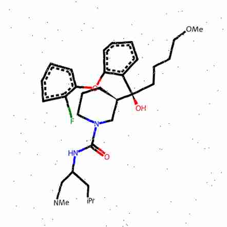 CNCC(CC(C)C)NC(=O)N1CCC[C@@H]([C@@](O)(CCCCOC)c2ccccc2Oc2ccccc2F)C1